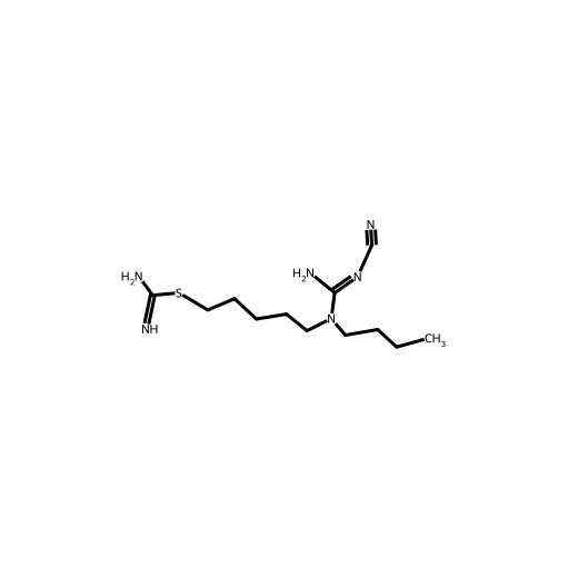 CCCCN(CCCCCSC(=N)N)C(N)=NC#N